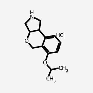 CC(C)Oc1cccc2c1COC1CNCC21.Cl